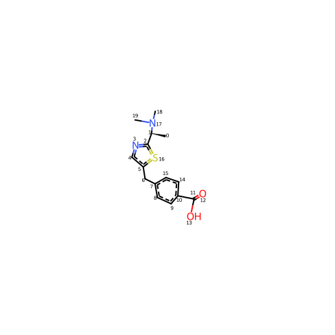 C[C@@H](c1ncc(Cc2ccc(C(=O)O)cc2)s1)N(C)C